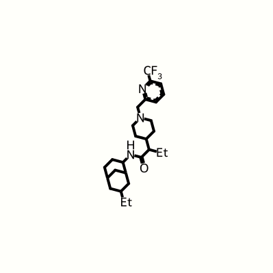 CCC1CC2CCC(NC(=O)C(CC)C3CCN(Cc4cccc(C(F)(F)F)n4)CC3)C(C1)C2